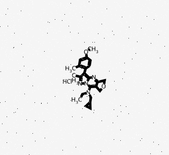 CCN(CC1CC1)c1c2c(nc3c(-c4ccc(OC)cc4C)c(C)nn13)COC2.Cl